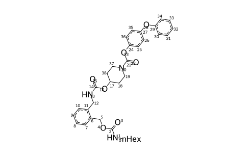 CCCCCCNC(=O)OCc1ccccc1CNC(=O)OC1CCN(C(=O)Oc2ccc(Oc3ccccc3)cc2)CC1